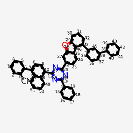 N#Cc1ccccc1-c1ccc(-c2nc(-c3ccccc3)nc(-c3ccc4c(c3)oc3cccc(-c5cccc(-c6ccccc6)c5)c34)n2)c2ccccc12